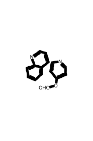 O=COc1ccncc1.c1ccc2ncccc2c1